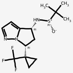 CC(C)(C)[S@+]([O-])N[C@@H]1C[C@H](C2(C(F)(F)F)CC2)n2nccc21